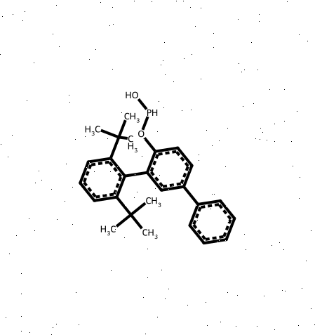 CC(C)(C)c1cccc(C(C)(C)C)c1-c1cc(-c2ccccc2)ccc1OPO